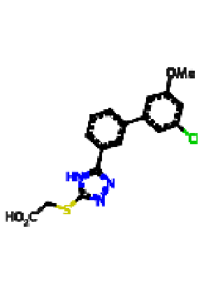 COc1cc(Cl)cc(-c2cccc(-c3nnc(SCC(=O)O)[nH]3)c2)c1